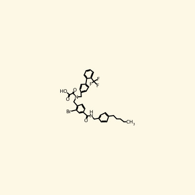 CCCCCc1ccc(CNC(=O)c2ccc(CN(Cc3ccc(-c4ccccc4C(F)(F)F)cc3)C(=O)C(=O)O)c(Br)c2)cc1